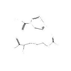 N=C(N)NCCCC(N)C(=O)O.O=C(O)N1C=CN=CC1